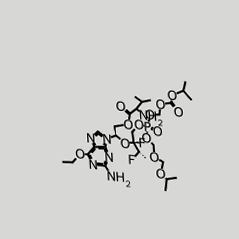 CCOc1nc(N)nc2c1ncn2[C@@H](COC(=O)C(N)C(C)C)O[C@](F)(COP(=O)(OCOCOC(C)C)OCOC(=O)OC(C)C)[C@H](C)F